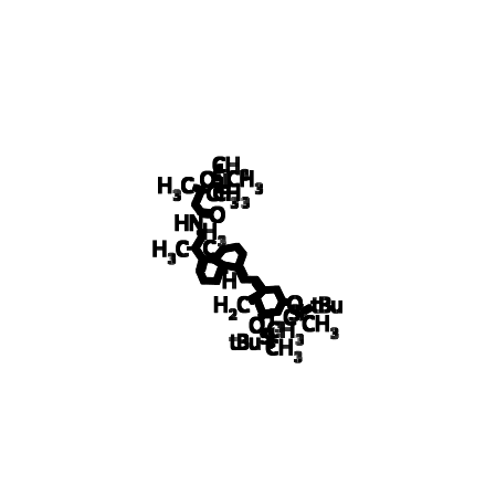 C=C1C(=CC=C2CCC[C@]3(C)C([C@H](C)CNC(=O)C[C@](C)(O[Si](C)(C)C)C(F)(F)F)=CCC[C@@H]23)CC(O[Si](C)(C)C(C)(C)C)CC1O[Si](C)(C)C(C)(C)C